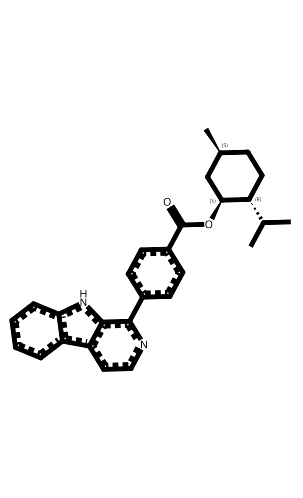 CC(C)[C@H]1CC[C@H](C)C[C@@H]1OC(=O)c1ccc(-c2nccc3c2[nH]c2ccccc23)cc1